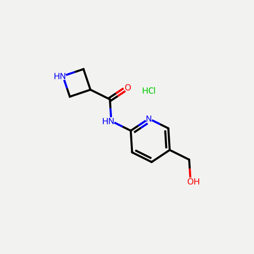 Cl.O=C(Nc1ccc(CO)cn1)C1CNC1